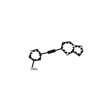 COc1cncc(C#Cc2ccn3nccc3n2)c1